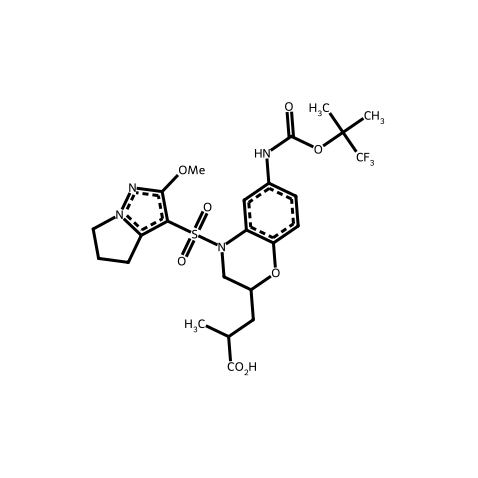 COc1nn2c(c1S(=O)(=O)N1CC(CC(C)C(=O)O)Oc3ccc(NC(=O)OC(C)(C)C(F)(F)F)cc31)CCC2